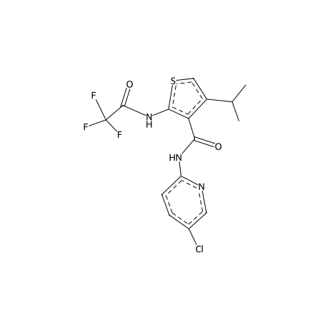 CC(C)c1csc(NC(=O)C(F)(F)F)c1C(=O)Nc1ccc(Cl)cn1